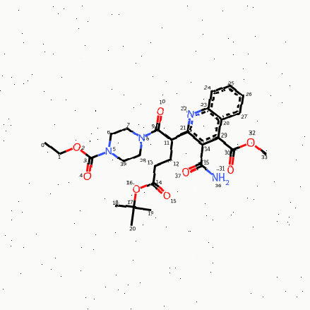 CCOC(=O)N1CCN(C(=O)C(CCC(=O)OC(C)(C)C)c2nc3ccccc3c(C(=O)OC)c2C(N)=O)CC1